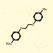 CSc1ccc(OCCOc2ccc(C(C)(C)C)cc2)cc1